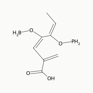 BOC(=C/C(=C)C(=O)O)/C(=C\C)OP